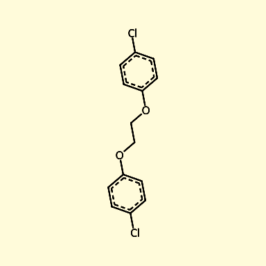 Clc1ccc(OCCOc2ccc(Cl)cc2)cc1